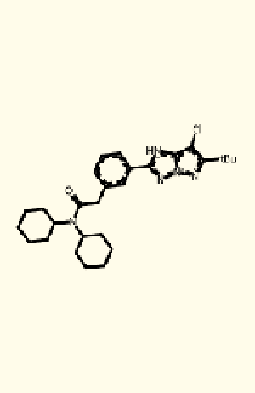 CC(C)(C)c1nn2nc(-c3cccc(CC(=O)N(C4CCCCC4)C4CCCCC4)c3)[nH]c2c1Cl